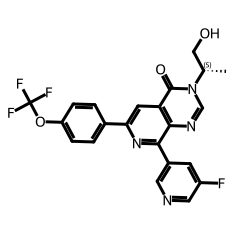 C[C@@H](CO)n1cnc2c(-c3cncc(F)c3)nc(-c3ccc(OC(F)(F)F)cc3)cc2c1=O